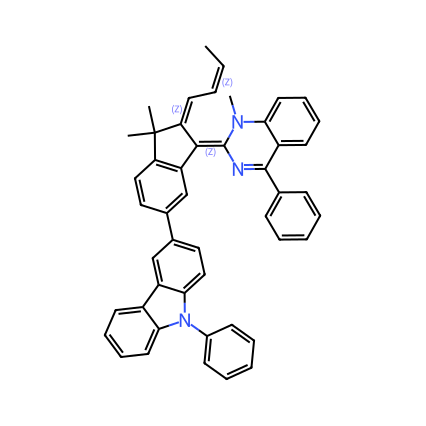 C\C=C/C=C1\C(=C2\N=C(c3ccccc3)c3ccccc3N2C)c2cc(-c3ccc4c(c3)c3ccccc3n4-c3ccccc3)ccc2C1(C)C